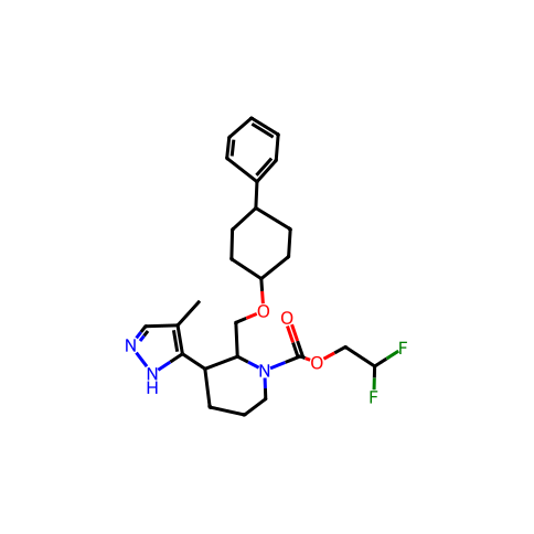 Cc1cn[nH]c1C1CCCN(C(=O)OCC(F)F)C1COC1CCC(c2ccccc2)CC1